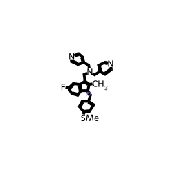 CSc1ccc(/C=C2/C(C)=C(CN(Cc3ccncc3)Cc3ccncc3)c3cc(F)ccc32)cc1